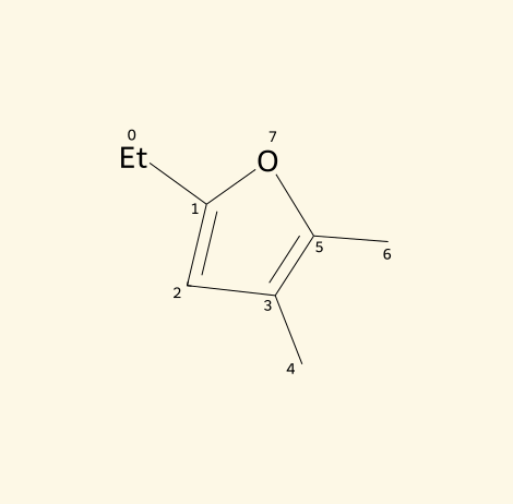 CCc1cc(C)c(C)o1